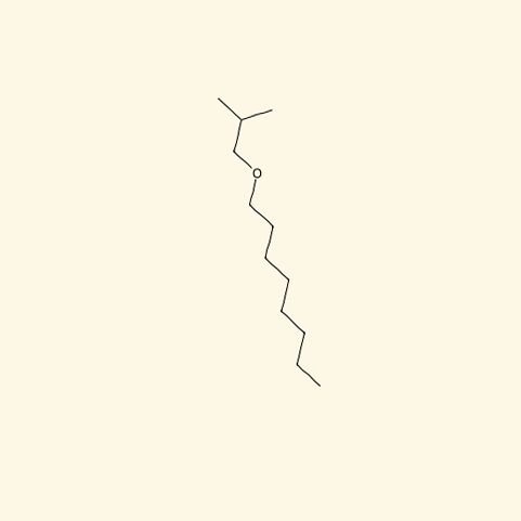 CCCCCCCCOCC(C)C